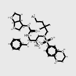 CC(=O)CCC(C)(C)CN(C[C@@H](O)[C@H](Cc1ccccc1)NC(=O)OC1COC2OCCC12)S(=O)(=O)c1ccc2c(c1)OCCO2